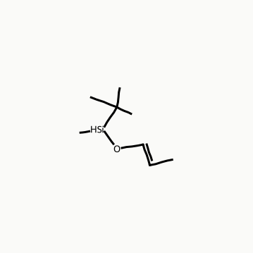 CC=CO[SiH](C)C(C)(C)C